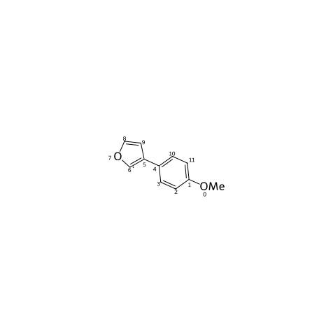 COc1ccc(-c2[c]occ2)cc1